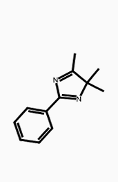 CC1=NC(c2ccccc2)=NC1(C)C